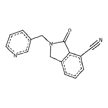 N#Cc1cccc2c1C(=O)N(Cc1cccnc1)C2